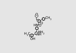 Cc1ccc(-c2cn(CC3CCOCC3)cc(C(=O)Nc3ccc(C4=CC(c5cc(C)nc(O)c5)=CNC4N)cc3)c2=O)cc1